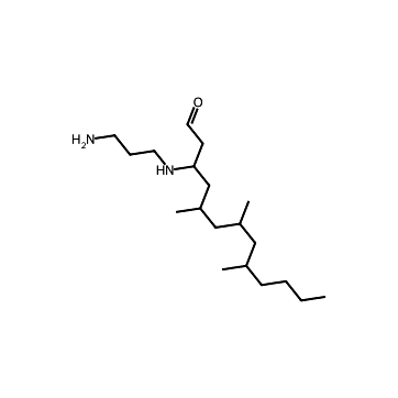 CCCCC(C)CC(C)CC(C)CC(CC=O)NCCCN